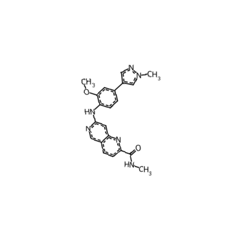 CNC(=O)c1ccc2cnc(Nc3ccc(-c4cnn(C)c4)cc3OC)cc2n1